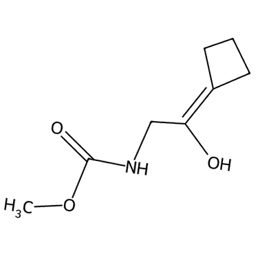 COC(=O)NCC(O)=C1CCC1